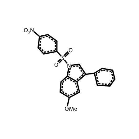 COc1ccc2c(c1)c(-c1ccccc1)cn2S(=O)(=O)c1ccc([N+](=O)[O-])cc1